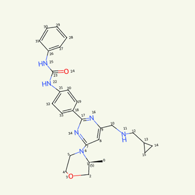 C[C@H]1COCCN1c1cc(CNCC2CC2)nc(-c2ccc(NC(=O)Nc3ccccc3)cc2)n1